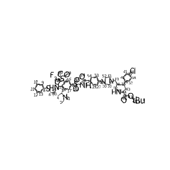 CN(C)CC[C@H](CSc1ccccc1)Nc1ccc(S(=O)(=O)NC(=O)c2ccc(N3CCN(CC4=C(c5ccc(Cl)cc5)CC(C(=O)OC(C)(C)C)NC4)CC3)cc2)cc1S(=O)(=O)C(F)(F)F